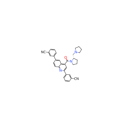 N#Cc1cccc(-c2ccc3nc(-c4cccc(C#N)c4)cc(C(=O)N4CCC[C@H]4CN4CCCC4)c3c2)c1